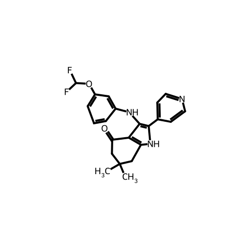 CC1(C)CC(=O)c2c([nH]c(-c3ccncc3)c2Nc2cccc(OC(F)F)c2)C1